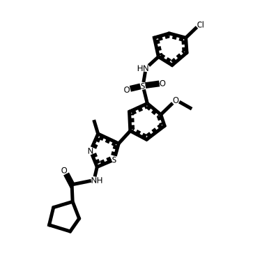 COc1ccc(-c2sc(NC(=O)C3CCCC3)nc2C)cc1S(=O)(=O)Nc1ccc(Cl)cc1